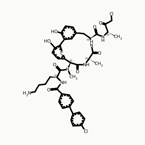 C[C@H](NC(=O)[C@@H]1Cc2ccc(O)c(c2)-c2cc(ccc2O)[C@H](N(C)C(=O)[C@H](CCCCN)NC(=O)c2ccc(-c3ccc(Cl)cc3)cc2)C(=O)N[C@@H](C)C(=O)N1)C(=O)CCl